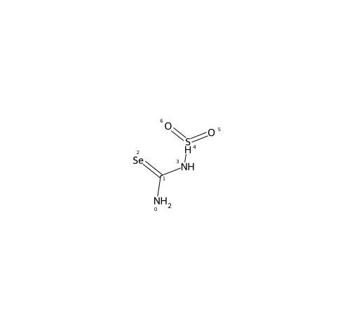 NC(=[Se])N[SH](=O)=O